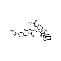 CNC(=O)C1CCC(CN2C(=O)CC(SCCC(=O)N(C)C34CC5CC(C3)C(OO[C@@H]3CCCC(OC(N)=O)C3)C(C5)C4)C2=O)CC1